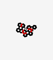 CC1(C)c2ccccc2-c2ccc(N(c3ccccc3C3=C4C(c5ccccc5)=CC=CC4CC=C3)c3ccccc3-c3cccc4cccc(-c5ccccc5)c34)cc21